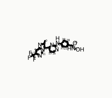 Cc1nc2cc(C(F)(F)F)ncn2c1-c1ccnc(Nc2ccc(C(=O)NO)cc2)n1